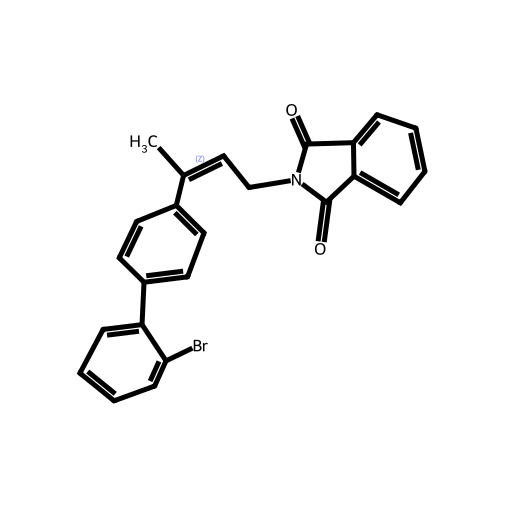 C/C(=C/CN1C(=O)c2ccccc2C1=O)c1ccc(-c2ccccc2Br)cc1